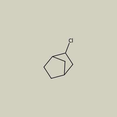 ClC1CC2CCC1C2